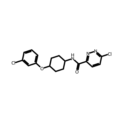 O=C(NC1CCC(Oc2cccc(Cl)c2)CC1)c1ccc(Cl)nn1